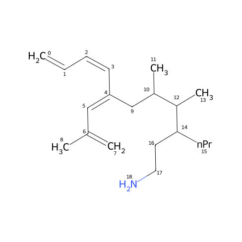 C=C/C=C\C(=C\C(=C)C)CC(C)C(C)C(CCC)CCN